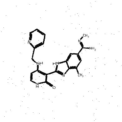 CN=C(N)c1cc(C)c2nc(-c3c(NCc4ccccn4)cc[nH]c3=O)[nH]c2c1